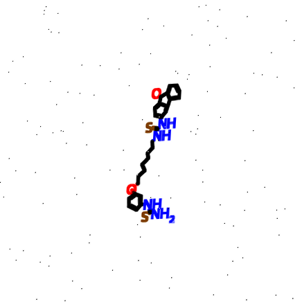 NC(=S)Nc1cccc(OCCCCCCCCNC(=S)Nc2ccc3c(c2)-c2ccccc2C3=O)c1